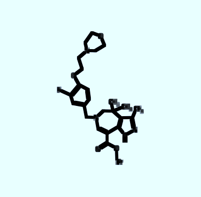 CC(C)OC(=O)C1=CN(Cc2ccc(OCCN3CCOCC3)c(F)c2)CC(C)(C)c2c(C(F)(F)F)n[nH]c21